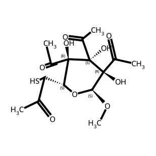 CO[C@H]1O[C@H](C(S)C(C)=O)[C@](O)(C(C)=O)[C@@](O)(C(C)=O)[C@]1(O)C(C)=O